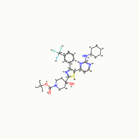 CC(C)(C)OC(=O)N1CCC(O)(c2nc(-c3cccc(C(F)(F)F)c3)c(-c3ccnc(NC4CCCCC4)n3)s2)CC1